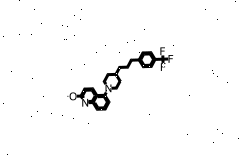 [O]c1ccc2c(N3CCC(CCCc4ccc(C(F)(F)F)cc4)CC3)cccc2n1